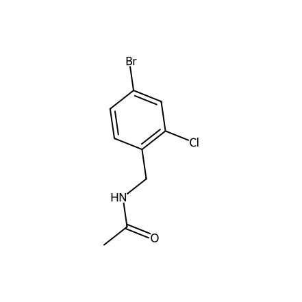 CC(=O)NCc1ccc(Br)cc1Cl